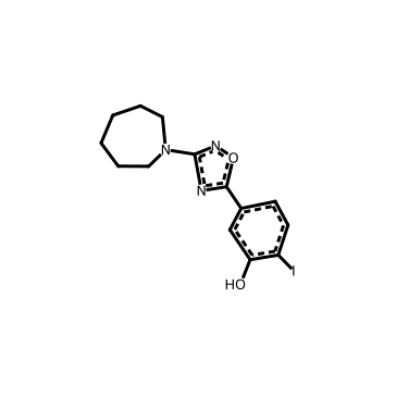 Oc1cc(-c2nc(N3CCCCCC3)no2)ccc1I